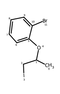 CC(CI)Oc1ccccc1Br